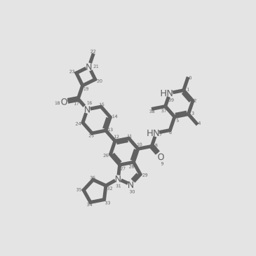 CC1=CC(C)=C(CNC(=O)c2cc(C3=CCN(C(=O)C4CN(C)C4)CC3)cc3c2cnn3C2CCCC2)C(C)N1